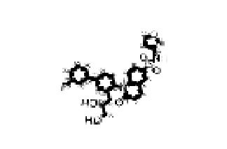 O=c1ccc2cc(S(=O)(=O)Nc3ccon3)ccc2n1-c1ccc(-c2cccc(F)c2)cc1C[C@@H](O)CO